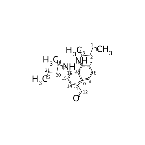 CCCC(C)Nc1cccc2c(C=O)ccc(NC(C)CCC)c12